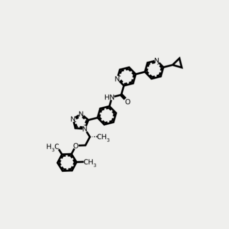 Cc1cccc(C)c1OC[C@@H](C)n1cnnc1-c1cccc(NC(=O)c2cc(-c3ccc(C4CC4)nc3)ccn2)c1